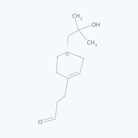 CC(C)(O)C[C@@H]1CC=C(CCC=O)CC1